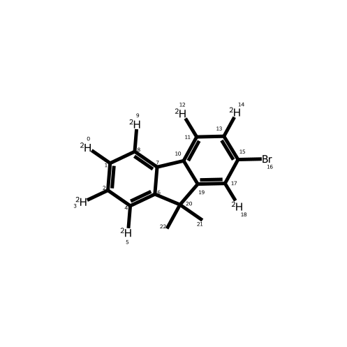 [2H]c1c([2H])c([2H])c2c(c1[2H])-c1c([2H])c([2H])c(Br)c([2H])c1C2(C)C